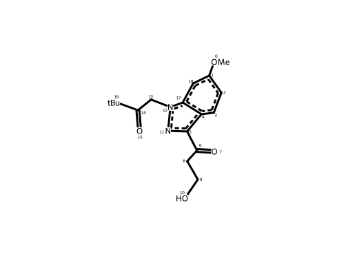 COc1ccc2c(C(=O)CCO)nn(CC(=O)C(C)(C)C)c2c1